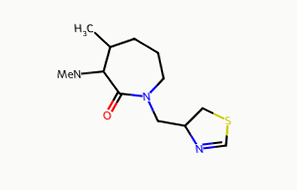 CNC1C(=O)N(CC2CSC=N2)CCCC1C